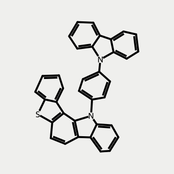 c1ccc2c(c1)sc1ccc3c4ccccc4n(-c4ccc(-n5c6ccccc6c6ccccc65)cc4)c3c12